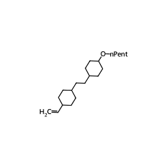 C=CC1CCC(CCC2CCC(OCCCCC)CC2)CC1